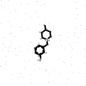 CC1CCN(Cc2cccc(F)c2)CC1